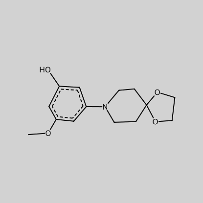 COc1cc(O)cc(N2CCC3(CC2)OCCO3)c1